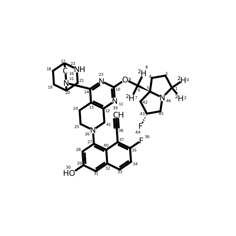 [2H]C1([2H])CC[C@@]2(C([2H])([2H])Oc3nc4c(c(N5CC6CCC5CN6)n3)CCN(c3cc(O)cc5ccc(F)c(C#C)c35)C4)C[C@@H](F)CN12